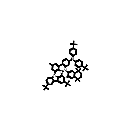 Cc1cc2c3c(c1)-n1c4ccc(C(C)(C)C)cc4c4cc(C(C)(C)C)cc(c41)B3N(c1cc3c(cc1C)C(C)(C)CCC3(C)C)c1cc(N(c3ccc(C(C)(C)C)cc3)c3ccc(C(C)(C)C)cc3)ccc1-2